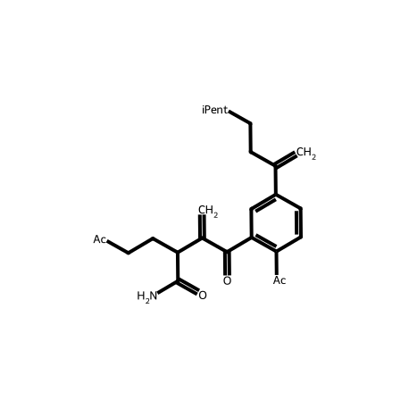 C=C(CCC(C)CCC)c1ccc(C(C)=O)c(C(=O)C(=C)C(CCC(C)=O)C(N)=O)c1